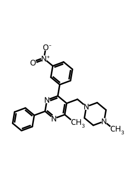 Cc1nc(-c2ccccc2)nc(-c2cccc([N+](=O)[O-])c2)c1CN1CCN(C)CC1